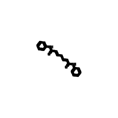 O=C(C=CCC=CC(=O)Nc1ccccc1)Nc1ccccc1